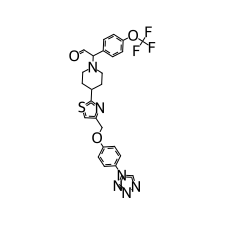 O=CC(c1ccc(OC(F)(F)F)cc1)N1CCC(c2nc(COc3ccc(-n4cnnn4)cc3)cs2)CC1